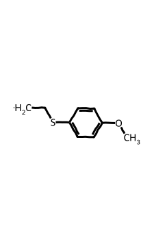 [CH2]CSc1ccc(OC)cc1